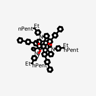 CCCCCC(CC)c1ccc(N2c3ccccc3C3(c4cc(-c5ccc(-c6ccccc6)cc5)ccc4-c4c3c3c(c5c4C4(c6cc(-c7ccc(-c8ccccc8)cc7)ccc6-5)c5ccccc5N(c5ccc(C(CC)CCCCC)cc5)c5ccccc54)C4(c5cc(-c6ccc(-c7ccccc7)cc6)ccc5-3)c3ccccc3N(c3ccc(C(CC)CCCCC)cc3)c3ccccc34)c3ccccc32)cc1